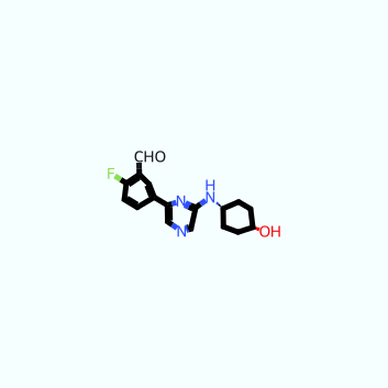 O=Cc1cc(-c2cncc(N[C@H]3CC[C@H](O)CC3)n2)ccc1F